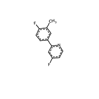 Cc1cc(-c2cc(F)ccn2)ccc1F